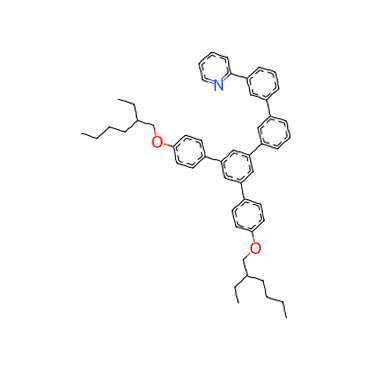 CCCCC(CC)COc1ccc(-c2cc(-c3ccc(OCC(CC)CCCC)cc3)cc(-c3cccc(-c4cccc(-c5ccccn5)c4)c3)c2)cc1